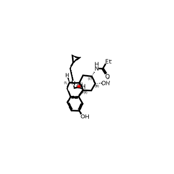 CCC(=O)N[C@H]1C[C@@]2(O)[C@H]3Cc4ccc(O)cc4[C@@]2(CCN3CC2CC2)C[C@H]1O